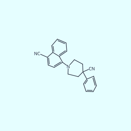 N#Cc1ccc(N2CCC(C#N)(c3ccccc3)CC2)c2ccccc12